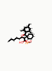 CCCCCCC(C(=O)O)C1(C(=O)c2c(C)cc(C)cc2C)CCCCC1.O=P